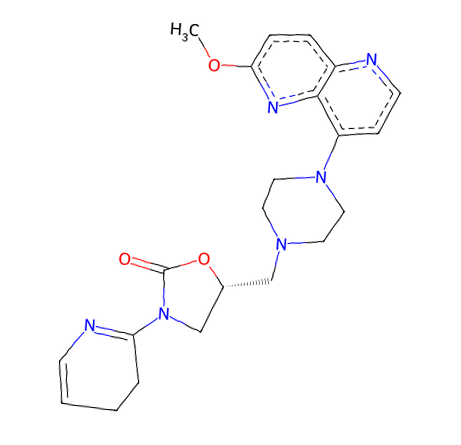 COc1ccc2nccc(N3CCN(C[C@@H]4CN(C5=NC=CCC5)C(=O)O4)CC3)c2n1